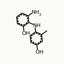 Cc1cc(O)ccc1Nc1c(N)cccc1O